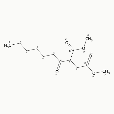 CCCCCCC(=O)C(CC(=O)OC)C(=O)OC